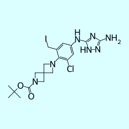 CC(C)(C)OC(=O)N1CC2(C1)CN(c1c(Cl)cc(Nc3nc(N)n[nH]3)cc1CI)C2